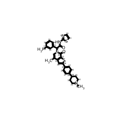 Cc1cn(C(C(=O)Nc2nccs2)c2cccc(P)c2)c(=O)c2sc(-c3ccc(C4CCN(C)CC4)cc3)cc12